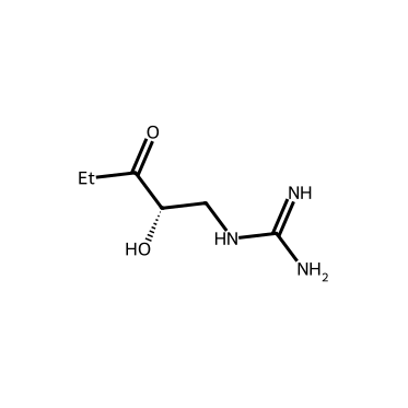 CCC(=O)[C@@H](O)CNC(=N)N